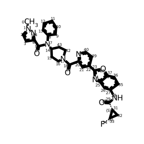 Cn1ccc(C(=O)N(c2ccccc2)C2CCN(C(=O)c3cc(-c4nc5cc(NC(=O)[C@@H]6C[C@@H]6F)ccc5o4)ccn3)CC2)n1